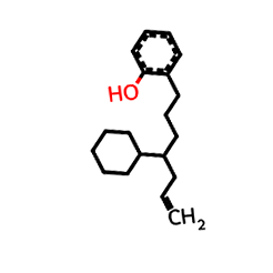 C=CCC(CCCc1ccccc1O)C1CCCCC1